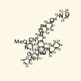 COc1ncc(-c2c(C(=O)Nc3ccccc3)c(C)n(C)c2-c2cc3c(cc2C(=O)N2Cc4ccccc4C[C@H]2C)CN(C(=O)Cc2ccc(OCCN4CCOCC4)cc2F)CC3)cc1C#N